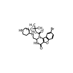 CC(C)(C)OC(=O)N1c2c(oc3ccc(Br)cc23)C(=O)NC1CNC1CCNCC1